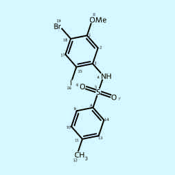 COc1cc(NS(=O)(=O)c2ccc(C)cc2)c(I)cc1Br